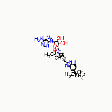 CC(C)[N+]([O-])(C[C@H]1O[C@@H](n2cnc3c(N)ncnc32)[C@H](O)[C@@H]1O)C1CC(CCc2nc3cc(C(C)(C)C)ccc3[nH]2)C1